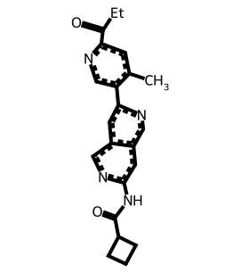 CCC(=O)c1cc(C)c(-c2cc3cnc(NC(=O)C4CCC4)cc3cn2)cn1